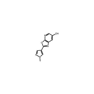 Cn1cc(-c2nc3cc(O)cnc3o2)cn1